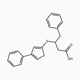 O=C(O)CC(Cc1ccccc1)Sc1cc(-c2ccccc2)cs1